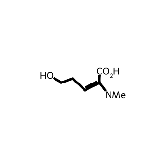 CNC(=CCCO)C(=O)O